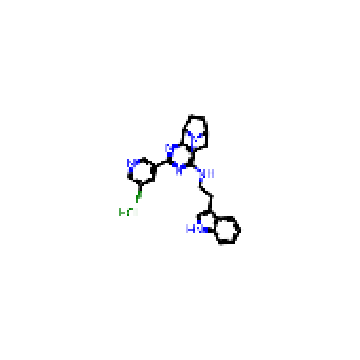 Cl.Fc1cncc(-c2nc(NCCc3c[nH]c4ccccc34)c3c(n2)C2CCC(C3)N2)c1